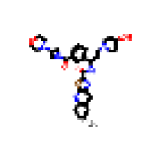 CC(C)(C)[C@H]1CCc2nc3sc(C(=O)NC(CCN4CCC(O)CC4)c4cccc(C(=O)N5CC(N6CCOCC6)C5)c4)nc3cc2C1